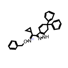 C1=CC(c2ccccc2)(c2ccccc2)Cc2[nH]nc(/C(=N/OCc3ccccc3)C3CC3)c21